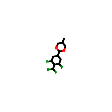 CC1COC(C2CC(F)C(C(F)F)C(F)C2)OC1